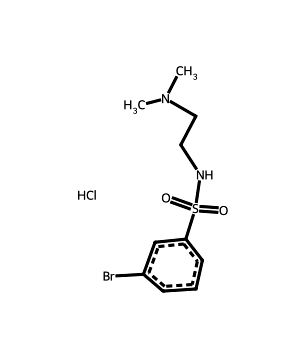 CN(C)CCNS(=O)(=O)c1cccc(Br)c1.Cl